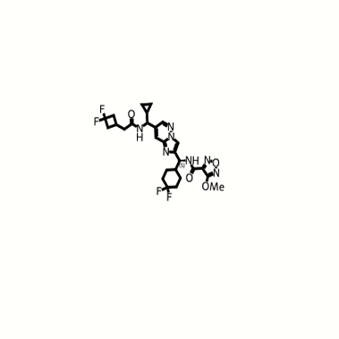 COc1nonc1C(=O)N[C@H](c1cn2ncc(C(NC(=O)CC3CC(F)(F)C3)C3CC3)cc2n1)C1CCC(F)(F)CC1